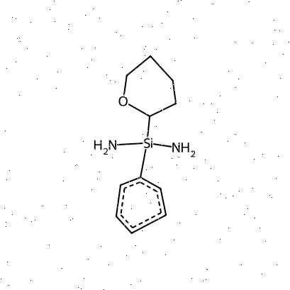 N[Si](N)(c1ccccc1)C1CCCCO1